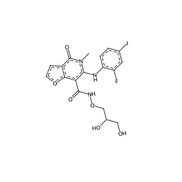 Cn1c(Nc2ccc(I)cc2F)c(C(=O)NOCC(O)CO)c2occc2c1=O